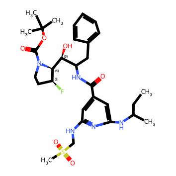 CCC(C)Nc1cc(C(=O)NC(Cc2ccccc2)[C@H](O)[C@H]2[C@@H](F)CCN2C(=O)OC(C)(C)C)cc(NCS(C)(=O)=O)n1